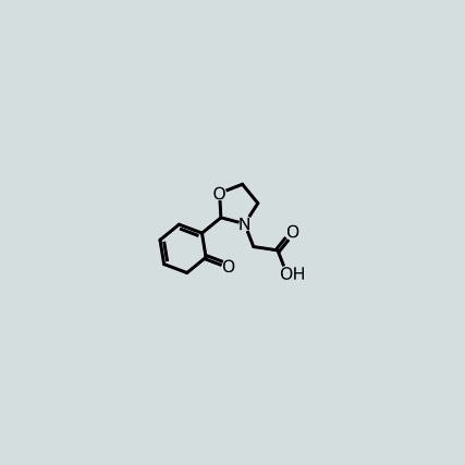 O=C(O)CN1CCOC1C1=CC=CCC1=O